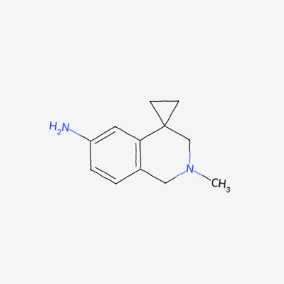 CN1Cc2ccc(N)cc2C2(CC2)C1